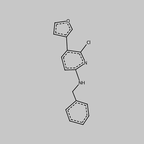 Clc1nc(NCc2ccccc2)ccc1-c1ccoc1